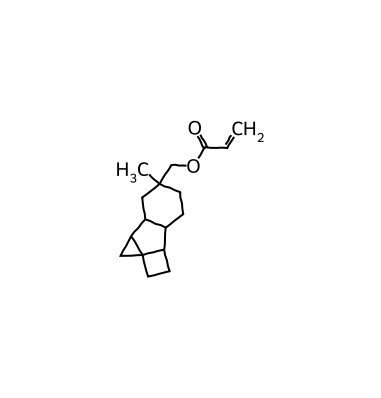 C=CC(=O)OCC1(C)CCC2C(C1)C1CC13CCC23